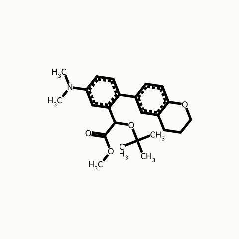 COC(=O)C(OC(C)(C)C)c1cc(N(C)C)ccc1-c1ccc2c(c1)CCCO2